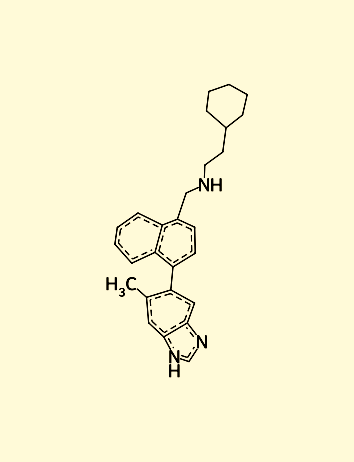 Cc1cc2[nH]cnc2cc1-c1ccc(CNCCC2CCCCC2)c2ccccc12